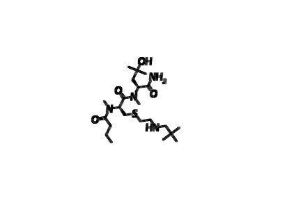 CCCC(=O)N(C)[C@H](CSCCNCC(C)(C)C)C(=O)N(C)[C@@H](CC(C)(C)O)C(N)=O